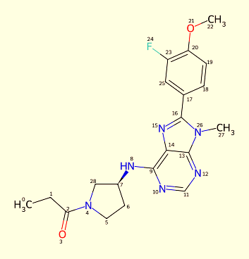 CCC(=O)N1CC[C@H](Nc2ncnc3c2nc(-c2ccc(OC)c(F)c2)n3C)C1